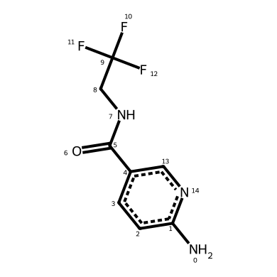 Nc1ccc(C(=O)NCC(F)(F)F)cn1